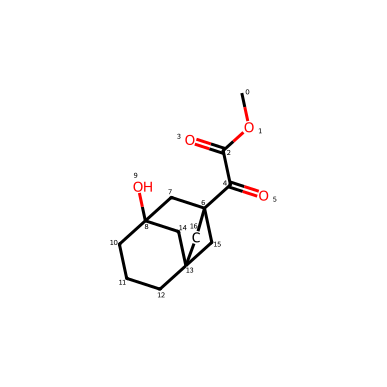 COC(=O)C(=O)C12CC3(O)CCCC(C3)(C1)C2